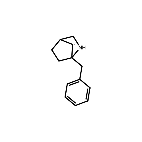 [CH]1C2CCC1(Cc1ccccc1)NC2